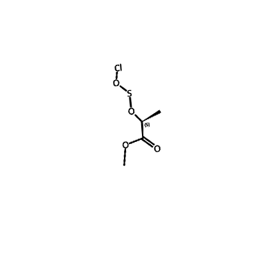 COC(=O)[C@H](C)OSOCl